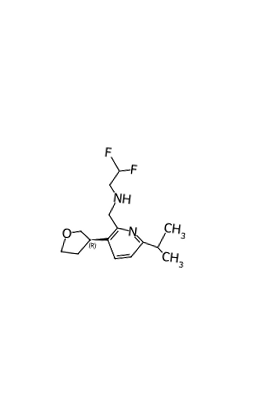 CC(C)c1ccc([C@H]2CCOC2)c(CNCC(F)F)n1